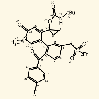 CCS(=O)(=O)Cc1ccc(C(=O)c2ccc(F)cc2)c(-c2cn(C)c(=O)cc2C2(OC(=O)NC(C)(C)C)CC2)c1